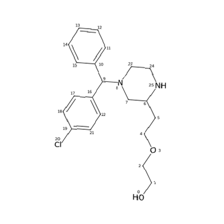 OCCOCCC1CN(C(c2ccccc2)c2ccc(Cl)cc2)CCN1